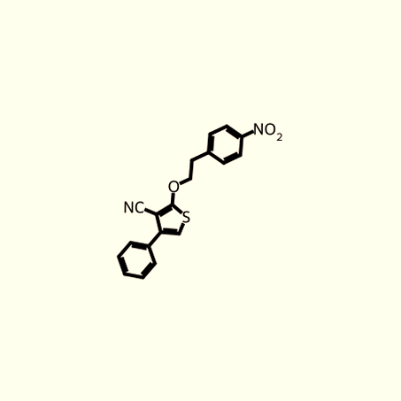 N#Cc1c(-c2ccccc2)csc1OCCc1ccc([N+](=O)[O-])cc1